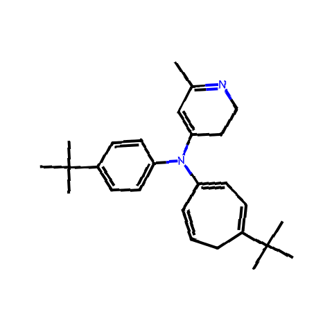 CC1=NCCC(N(C2=CC=C(C(C)(C)C)CC=C2)c2ccc(C(C)(C)C)cc2)=C1